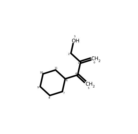 C=C(CO)C(=C)C1CCCCC1